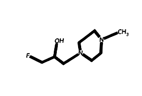 CN1CCN(CC(O)CF)CC1